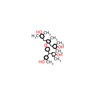 CC1=CC(C(c2ccc(Oc3c(Cc4cc(C)c(O)c(C)c4)cc(C)cc3Cc3cc(C)c(O)c(C)c3)cc2)c2ccc(O)c(C)c2)=CCC1O